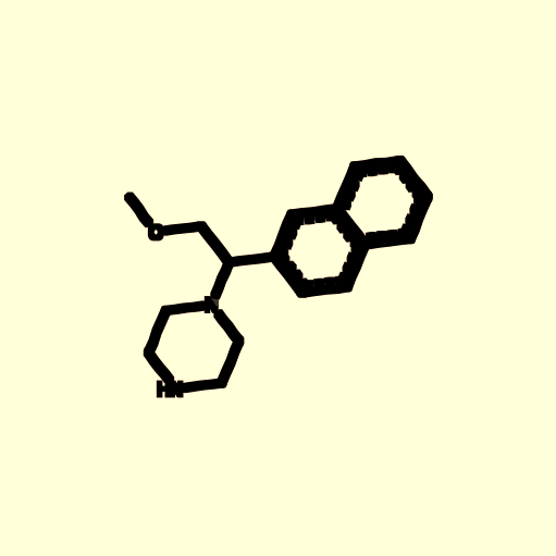 COCC(c1ccc2ccccc2c1)N1CCNCC1